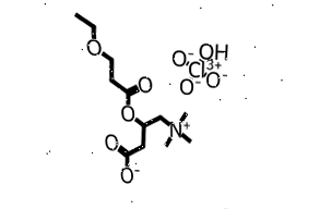 CCOCCC(=O)OC(CC(=O)[O-])C[N+](C)(C)C.[O-][Cl+3]([O-])([O-])O